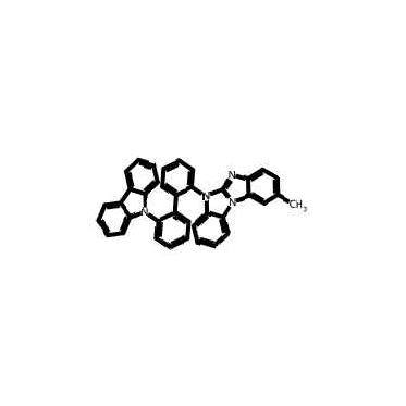 Cc1ccc2nc3n(-c4ccccc4-c4ccccc4-n4c5ccccc5c5ccccc54)c4ccccc4n3c2c1